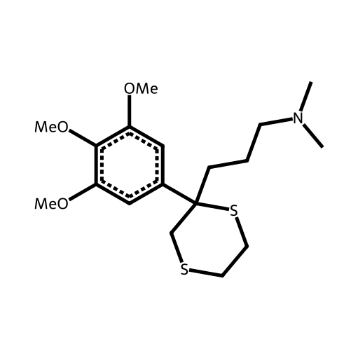 COc1cc(C2(CCCN(C)C)CSCCS2)cc(OC)c1OC